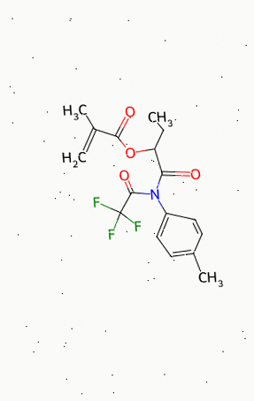 C=C(C)C(=O)OC(CC)C(=O)N(C(=O)C(F)(F)F)c1ccc(C)cc1